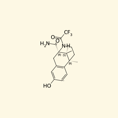 C[C@H]1[C@@]2(C)CCN(C(=O)C(F)(F)F)[C@]1(C(N)=O)Cc1cc(O)[c]cc12